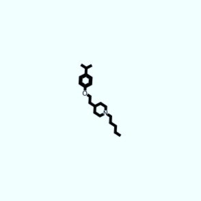 CCCCCN1CCC(CCOc2ccc(C(C)C)cc2)CC1